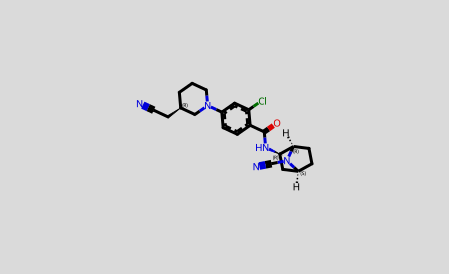 N#CC[C@H]1CCCN(c2ccc(C(=O)N[C@@H]3C[C@@H]4CC[C@H]3N4C#N)c(Cl)c2)C1